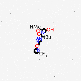 CNC(=O)[C@H]1CC(O)CN1C(=O)C(n1cc(COc2cccc(C(F)(F)F)n2)nn1)C(C)(C)C